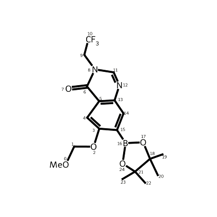 COCOc1cc2c(=O)n(CC(F)(F)F)cnc2cc1B1OC(C)(C)C(C)(C)O1